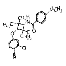 COc1ccc(C(=O)N[C@H]2C(C)(C)[C@H](Oc3ccc(C#N)c(Cl)c3)C2(C)C)cc1